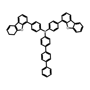 C1=Cc2c(oc3c(-c4ccc(N(c5ccc(-c6ccc(-c7ccccc7)cc6)cc5)c5ccc(-c6cccc7c6oc6ccccc67)cc5)cc4)cccc23)CC1